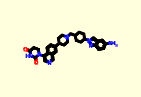 Nc1ccc2nn(C3CCC(CN4CCC(c5ccc6c(N7CCC(=O)NC7=O)cncc6c5)CC4)CC3)cc2c1